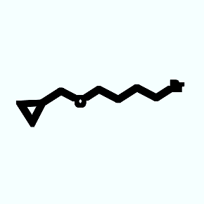 BrCCCCOCC1CC1